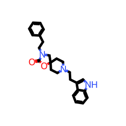 O=C1OC2(CCN(CCc3c[nH]c4ccccc34)CC2)CN1CCc1ccccc1